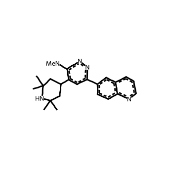 CNc1nnc(-c2ccc3ncccc3c2)cc1C1CC(C)(C)NC(C)(C)C1